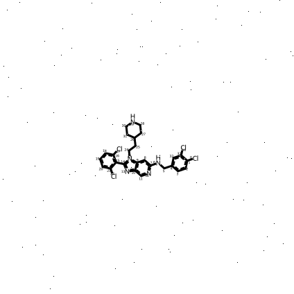 Clc1ccc(CNc2cc3c(cn2)nc(-c2c(Cl)cccc2Cl)n3CCC2CCNCC2)cc1Cl